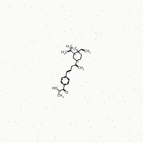 C=C[C@]1(C)CC[C@@H](C(=C)C/C=C/c2ccc(C(=O)N(C)O)cc2)C[C@H]1C(=C)C